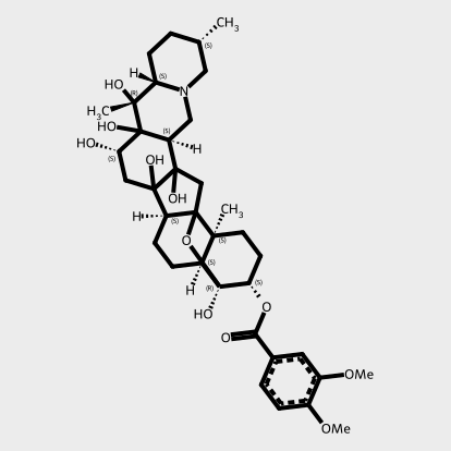 COc1ccc(C(=O)O[C@H]2CC[C@@]3(C)[C@@H]4CC[C@H]5C6(O)C[C@H](O)C7(O)[C@@H](CN8C[C@@H](C)CC[C@H]8[C@@]7(C)O)C6(O)CC53O[C@@]24O)cc1OC